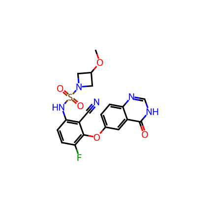 COC1CN(S(=O)(=O)Nc2ccc(F)c(Oc3ccc4nc[nH]c(=O)c4c3)c2C#N)C1